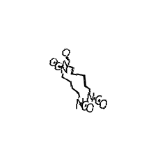 O=C=NCCCCCN=C=O.O=C=NCCCCN=C=O